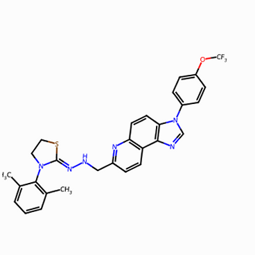 Cc1cccc(C)c1N1CCSC1=NNCc1ccc2c(ccc3c2ncn3-c2ccc(OC(F)(F)F)cc2)n1